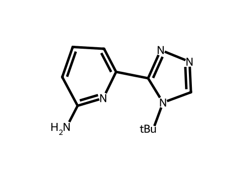 CC(C)(C)n1cnnc1-c1cccc(N)n1